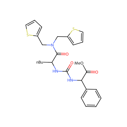 CCCCC(NC(=O)NC(C(=O)OC)c1ccccc1)C(=O)N(Cc1cccs1)Cc1cccs1